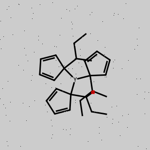 CCC(C)[C]1([Y]([C]2(C(C)CC)C=CC=C2)[C]2(C(C)CC)C=CC=C2)C=CC=C1